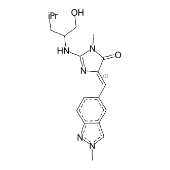 CC(C)CC(CO)NC1=N/C(=C\c2ccc3nn(C)cc3c2)C(=O)N1C